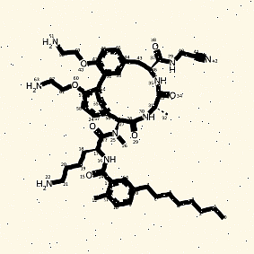 CCCCCCCCc1ccc(C)c(C(=O)N[C@@H](CCCCN)C(=O)N(C)[C@@H]2C(=O)N[C@@H](C)C(=O)N[C@H](C(=O)NCC#N)Cc3ccc(OCCN)c(c3)-c3cc2ccc3OCCN)c1